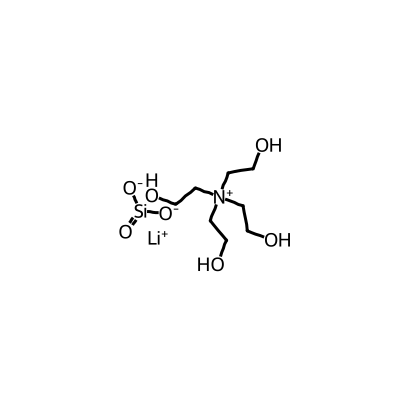 O=[Si]([O-])[O-].OCC[N+](CCO)(CCO)CCO.[Li+]